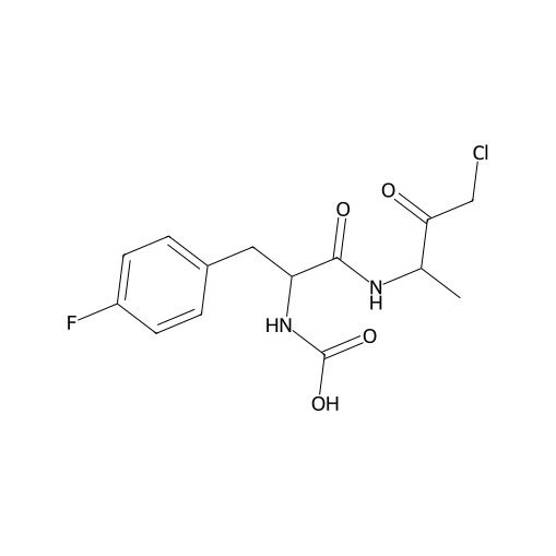 CC(NC(=O)C(Cc1ccc(F)cc1)NC(=O)O)C(=O)CCl